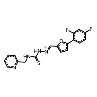 Fc1ccc(-c2ccc(/C=N/NC(=S)NCc3ccccn3)o2)c(F)c1